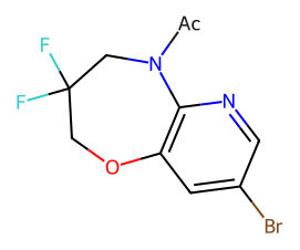 CC(=O)N1CC(F)(F)COc2cc(Br)cnc21